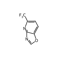 FC(F)(F)c1ccc2ocnc2n1